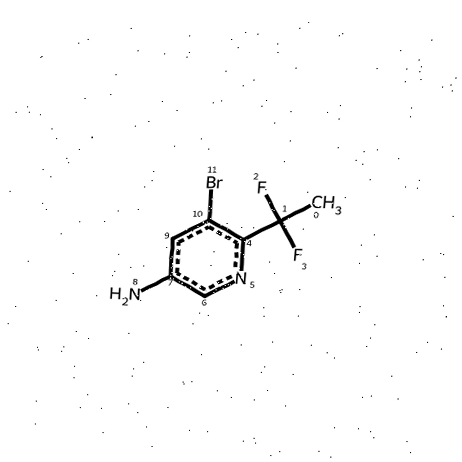 CC(F)(F)c1ncc(N)cc1Br